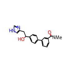 CNC(=O)c1cccc(-c2ccc(C(O)Cc3c[nH]cn3)cc2)c1